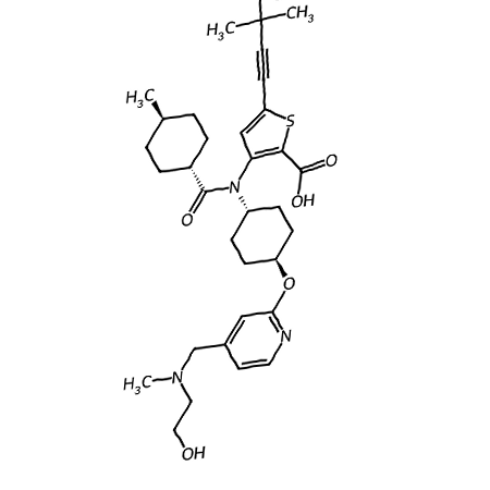 CN(CCO)Cc1ccnc(O[C@H]2CC[C@H](N(c3cc(C#CC(C)(C)C)sc3C(=O)O)C(=O)[C@H]3CC[C@H](C)CC3)CC2)c1